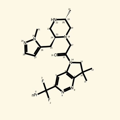 CCCC(F)(F)c1cc2c(nn1)C(C)(C)CN2C(=O)CN1C[C@@H](C)NC[C@@H]1Cc1ccnn1C